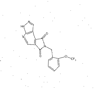 O=C1c2cnc3[nH]ncc3c2C(=O)N1Cc1ccccc1OC(F)(F)F